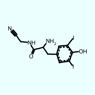 N#CCNC(=O)C(N)Cc1cc(I)c(O)c(I)c1